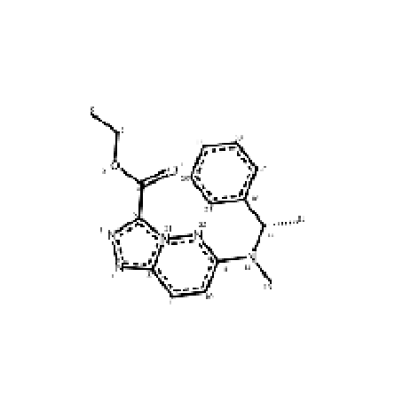 CCOC(=O)c1nnc2ccc(N(C)[C@@H](C)c3ccccc3)nn12